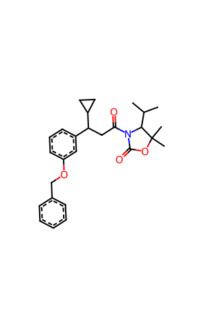 CC(C)C1N(C(=O)CC(c2cccc(OCc3ccccc3)c2)C2CC2)C(=O)OC1(C)C